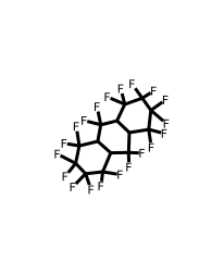 FC1(F)C2C(C(F)(F)C3C1C(F)(F)C(F)(F)C(F)(F)C3(F)F)C(F)(F)C(F)(F)C(F)(F)C2(F)F